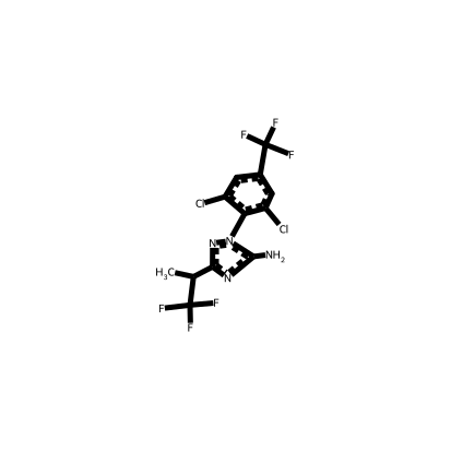 CC(c1nc(N)n(-c2c(Cl)cc(C(F)(F)F)cc2Cl)n1)C(F)(F)F